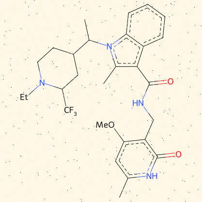 CCN1CCC(C(C)n2c(C)c(C(=O)NCc3c(OC)cc(C)[nH]c3=O)c3ccccc32)CC1C(F)(F)F